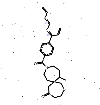 C=C/N=C/N=C(\C=C)c1ccc(C(=O)N2CCC(C)C3(CC2)COCCC(=O)C3)cc1